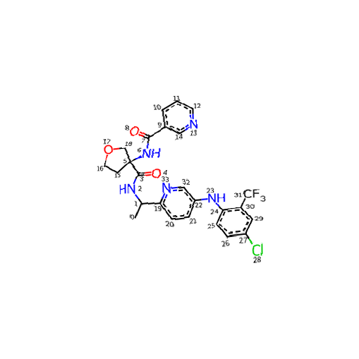 CC(NC(=O)[C@]1(NC(=O)c2cccnc2)CCOC1)c1ccc(Nc2ccc(Cl)cc2C(F)(F)F)cn1